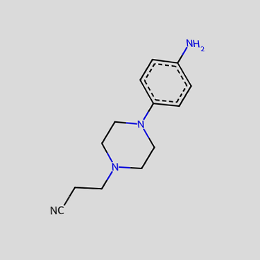 N#CCCN1CCN(c2ccc(N)cc2)CC1